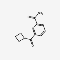 NC(=O)c1nc[c]c(C(=O)N2CCC2)n1